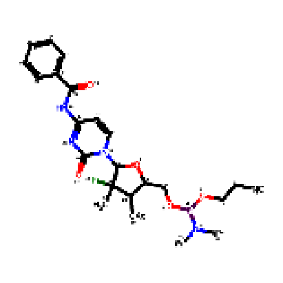 [C-]#[N+]CCOP(OCC1OC(n2ccc(NC(=O)c3ccccc3)nc2=O)C(C)(F)C1OC(C)=O)N(C(C)C)C(C)C